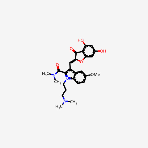 COc1ccc2c(c1)c(/C=C1\Oc3cc(O)cc(O)c3C1=O)c(C(=O)N(C)C)n2CCCN(C)C